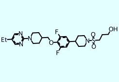 CCc1cnc(N2CCC(COc3c(F)cc(C4CCN(S(=O)(=O)CCCO)CC4)cc3F)CC2)nc1